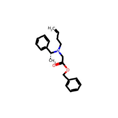 C=CCCN(CC(=O)OCc1ccccc1)[C@H](C)c1ccccc1